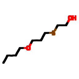 CCCCOCCCSCCO